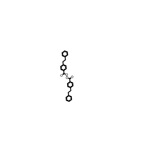 O=C(OOC(=O)c1ccc(CCc2ccccc2)cc1)c1ccc(CCc2ccccc2)cc1